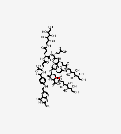 Nc1nc2ncc(CNc3ccc(C(=O)N[C@@H](CCC(=O)N[C@@H](CCC(=O)NC[C@H](O)[C@@H](O)[C@H](O)C(O)CO)C(=O)N[C@H](CCC(=O)O)C(=O)N[C@@H](CCC(=O)NC[C@H](O)[C@@H](O)[C@H](O)[C@H](O)CO)C(=O)N[C@H](CCC(=O)O)C(=O)N[C@@H](CCC(=O)NC[C@H](O)[C@@H](O)[C@H](O)[C@H](O)CO)C(=O)NC(CS)C(=O)O)C(=O)O)cc3)nc2c(=O)[nH]1